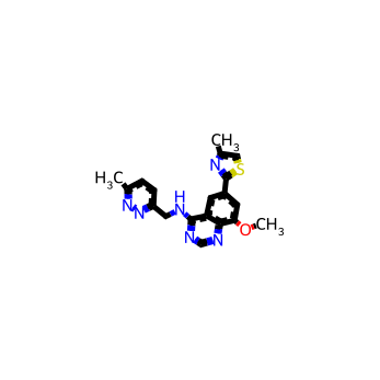 COc1cc(-c2nc(C)cs2)cc2c(NCc3ccc(C)nn3)ncnc12